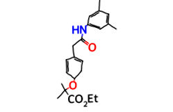 CCOC(=O)C(C)(C)OC1C=CC(CC(=O)Nc2cc(C)cc(C)c2)=CC1